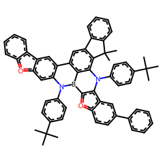 CC(C)(C)c1ccc(N2B3c4oc5ccc(-c6ccccc6)cc5c4N(c4ccc(C(C)(C)C)cc4)c4c3c(cc3c4C(C)(C)c4ccccc4-3)-c3cc4c(cc32)oc2ccccc24)cc1